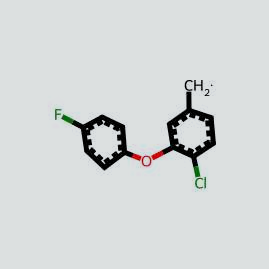 [CH2]c1ccc(Cl)c(Oc2ccc(F)cc2)c1